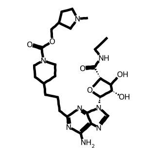 CCNC(=O)[C@H]1O[C@@H](n2cnc3c(N)nc(CCCC4CCN(C(=O)OCC5CCN(C)C5)CC4)nc32)[C@@H](O)C1O